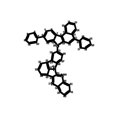 c1ccc(-c2ccc3c4c5ccccc5c(-c5ccccc5)cc4n(-c4ccc5c(c4)c4cccc6c7nc8ccccc8nc7n5c46)c3c2)cc1